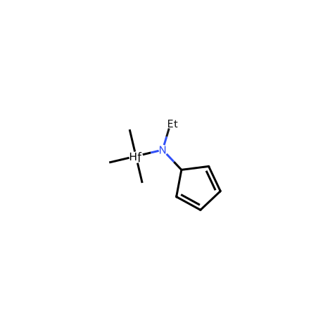 CC[N](C1C=CC=C1)[Hf]([CH3])([CH3])[CH3]